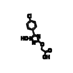 O=C(O)COc1nc(-c2ccc(Cl)cc2)n(O)n1